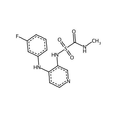 CNC(=O)S(=O)(=O)Nc1cnccc1Nc1cccc(F)c1